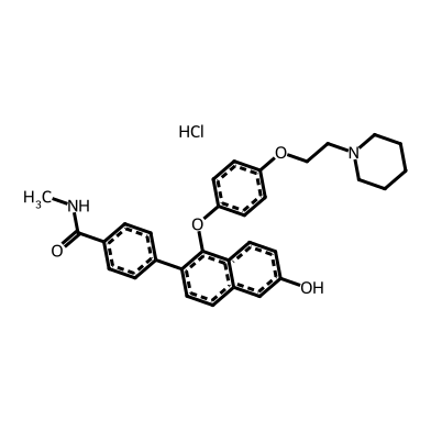 CNC(=O)c1ccc(-c2ccc3cc(O)ccc3c2Oc2ccc(OCCN3CCCCC3)cc2)cc1.Cl